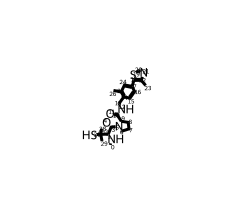 CNC(C(=O)N1CCCC1C(=O)NCc1ccc(-c2scnc2C)cc1C)C(C)(C)S